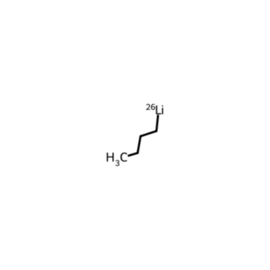 [26Li][CH2]CCC